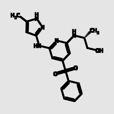 Cc1cc(Nc2cc(S(=O)(=O)c3ccccc3)cc(N[C@H](C)CO)n2)n[nH]1